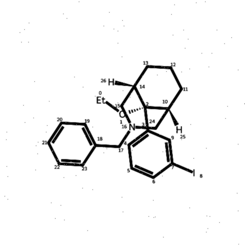 CCO[C@@]1(c2cccc(I)c2)[C@@H]2CCC[C@H]1CN(Cc1ccccc1)C2